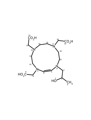 CC(O)CN1/C=C\N(CC(=O)O)CCN(CC(=O)O)CCN(CC(=O)O)CC1